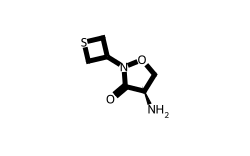 N[C@@H]1CON(C2CSC2)C1=O